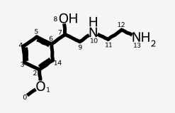 COc1cccc(C(O)CNCCN)c1